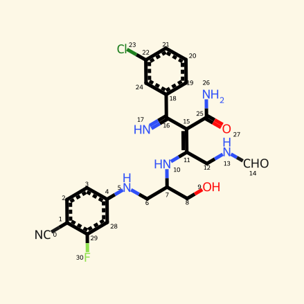 N#Cc1ccc(NCC(CO)N/C(CNC=O)=C(\C(=N)c2cccc(Cl)c2)C(N)=O)cc1F